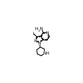 Nc1nccc2c1c(I)nn2C1CCCNC1